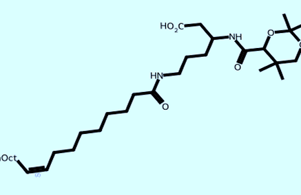 CCCCCCCC/C=C\CCCCCCCC(=O)NCCCC(CC(=O)O)NC(=O)C1OC(C)(C)OCC1(C)C